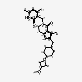 COC1CN(C2CCC(Cc3sc4c(c3C)C(=O)N(Cc3c(C)cc(C)[nH]c3=O)CC4)CC2)C1